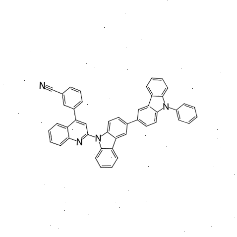 N#Cc1cccc(-c2cc(-n3c4ccccc4c4cc(-c5ccc6c(c5)c5ccccc5n6-c5ccccc5)ccc43)nc3ccccc23)c1